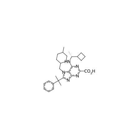 CC1CCC(Cn2c(C(C)(C)c3ccccc3)nc3nc(C(=O)O)nc(N[C@H](C)C4CCC4)c32)CC1